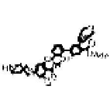 COC(=O)c1cc(F)c(-c2cccc3c2OCN(C(=O)c2c(Cl)cc(N4CC5(CCNC5)C4)cc2Cl)C3)cc1N1C2CCC1COC2